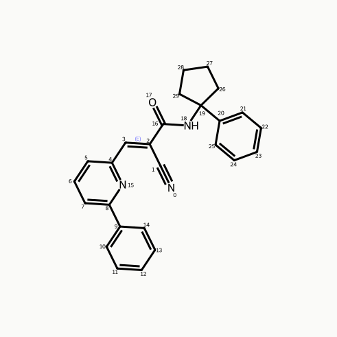 N#C/C(=C\c1cccc(-c2ccccc2)n1)C(=O)NC1(c2ccccc2)CCCC1